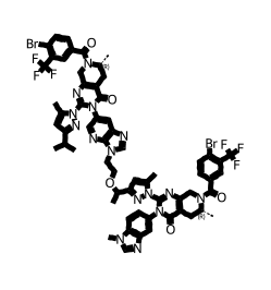 Cc1cc(C(C)C)nn1-c1nc2c(c(=O)n1-c1cnc3c(c1)ncn3CCOC(C)c1cc(C)n(-c3nc4c(c(=O)n3-c3ccc5c(c3)ncn5C)C[C@@H](C)N(C(=O)c3ccc(Br)c(C(F)(F)F)c3)C4)n1)C[C@@H](C)N(C(=O)c1ccc(Br)c(C(F)(F)F)c1)C2